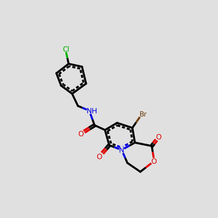 O=C(NCc1ccc(Cl)cc1)c1cc(Br)c2n(c1=O)CCOC2=O